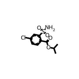 CC(C)OC(=O)c1ccc(Cl)cc1S(N)(=O)=O